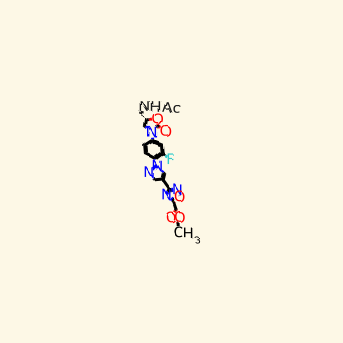 CC(=O)NC[C@H]1CN(c2ccc(-n3cc(-c4noc(C5OC(C)O5)n4)cn3)c(F)c2)C(=O)O1